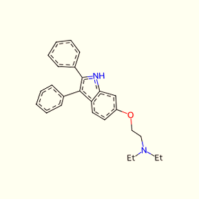 CCN(CC)CCOc1ccc2c(-c3ccccc3)c(-c3ccccc3)[nH]c2c1